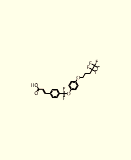 O=C(O)/C=C/c1ccc(C(F)(F)Oc2ccc(OCCCC(F)(F)C(F)(F)F)cc2)cc1